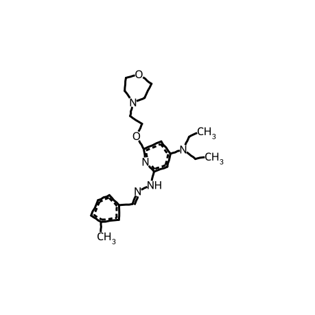 CCN(CC)c1cc(N/N=C/c2cccc(C)c2)nc(OCCN2CCOCC2)c1